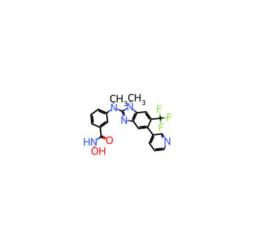 CN(c1cccc(C(=O)NO)c1)c1nc2cc(-c3cccnc3)c(C(F)(F)F)cc2n1C